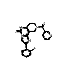 O=C(c1cccnc1)N1CCc2[nH]c(=O)n3cc(-c4ccccc4F)nc3c2C1